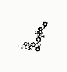 CC(C)(C)OC(=O)N1CC[C@@H](C(=O)N2CCC(O)(Cn3cnc4c(ccn4Cc4ccccc4)c3=O)CC2)[C@H](c2ccccc2)C1